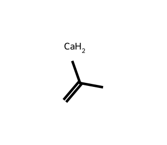 C=C(C)C.[CaH2]